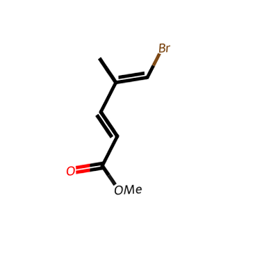 COC(=O)C=CC(C)=CBr